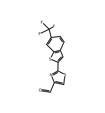 O=Cc1csc(-c2cc3ccc(C(F)(F)F)cc3s2)n1